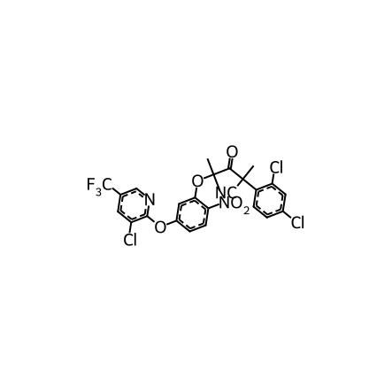 CC(C)(Oc1cc(Oc2ncc(C(F)(F)F)cc2Cl)ccc1[N+](=O)[O-])C(=O)C(C)(C#N)c1ccc(Cl)cc1Cl